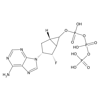 Nc1ncnc2c1ncn2[C@@H]1C[C@@H]2C(OP(=O)(O)OP(=O)(O)OP(=O)(O)O)C2[C@@H]1F